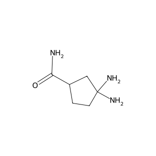 NC(=O)C1CCC(N)(N)C1